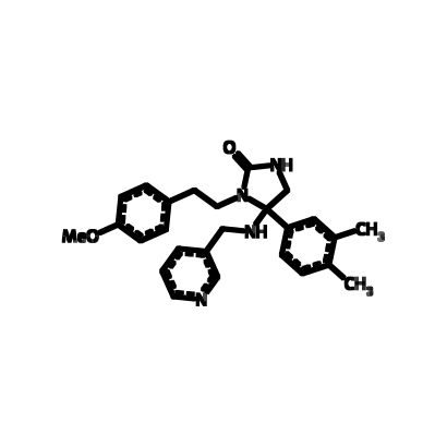 COc1ccc(CCN2C(=O)NCC2(NCc2cccnc2)c2ccc(C)c(C)c2)cc1